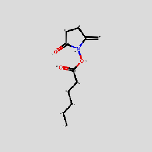 C=C1CCC(=O)N1OC(=O)CCCCC